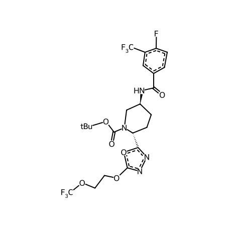 CC(C)(C)OC(=O)N1C[C@@H](NC(=O)c2ccc(F)c(C(F)(F)F)c2)CC[C@@H]1c1nnc(OCCOC(F)(F)F)o1